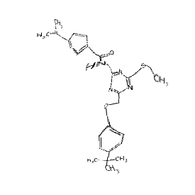 CSc1nc(COc2ccc(C(C)(C)C)cc2)nc(NC(=O)c2ccc(N(C)C)cc2)n1